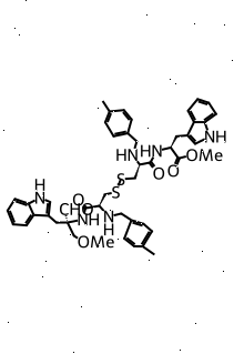 COC[C@@](C=O)(Cc1c[nH]c2ccccc12)NC(=O)[C@@H](CSSC[C@@H](NCc1ccc(C)cc1)C(=O)N[C@@H](Cc1c[nH]c2ccccc12)C(=O)OC)NCc1ccc(C)cc1